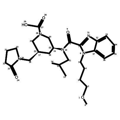 COCCCCn1c(C(=O)N(CC(C)C)[C@H]2C[C@@H](CN3CCCC3=O)CN(C(=O)O)C2)nc2ccccc21